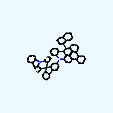 c1ccc(-c2cccc3ccccc23)c(-c2ccccc2N(c2ccc3c(c2)C2(c4ccccc4-3)c3ccccc3-n3c4ccccc4c4cccc2c43)c2ccc3c4ccccc4c4ccccc4c3c2)c1